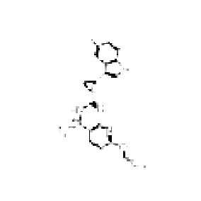 C[C@@H](NC(=O)[C@@H]1C[C@H]1c1c[nH]c2ccc(F)cc12)c1ccc(OCC(F)(F)F)nc1